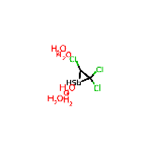 Cl[CH]1[SbH][C]1(Cl)Cl.O.O.O.O.O